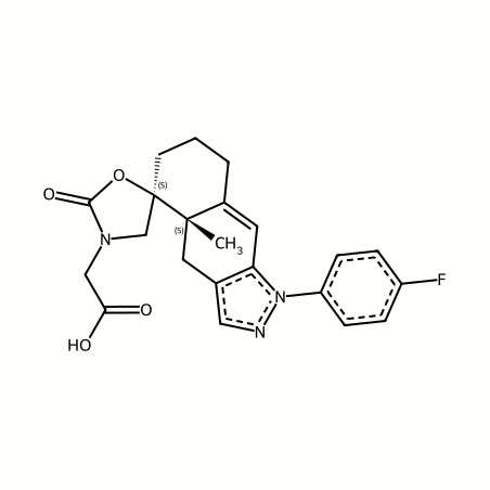 C[C@]12Cc3cnn(-c4ccc(F)cc4)c3C=C1CCC[C@@]21CN(CC(=O)O)C(=O)O1